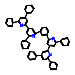 c1ccc(-c2cc(-c3ccccc3)nc(-c3cc(-c4ccccc4)nc(-c4cccc(-c5cc(-c6cc(-c7ccccc7)cc(-c7ccccc7)n6)cc(-c6ccccc6)n5)c4)c3)c2)cc1